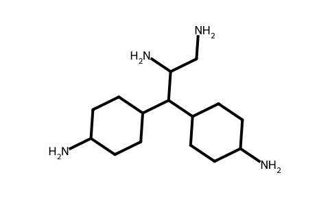 NCC(N)C(C1CCC(N)CC1)C1CCC(N)CC1